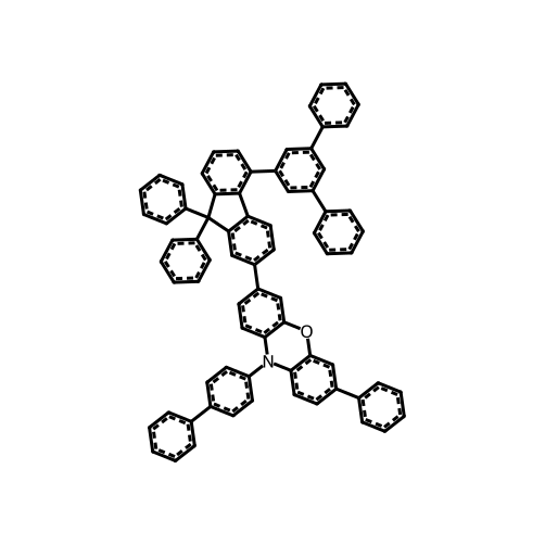 c1ccc(-c2ccc(N3c4ccc(-c5ccccc5)cc4Oc4cc(-c5ccc6c(c5)C(c5ccccc5)(c5ccccc5)c5cccc(-c7cc(-c8ccccc8)cc(-c8ccccc8)c7)c5-6)ccc43)cc2)cc1